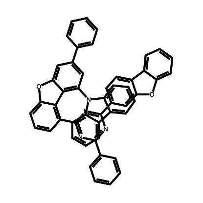 c1ccc(-c2cc(-n3c4ccccc4c4ccccc43)c3c(c2)oc2cccc(-c4nc(-c5ccccc5)nc(-c5ccc6c(c5)oc5ccccc56)n4)c23)cc1